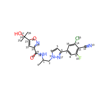 CC(Cn1ccc(-c2cc(F)c(C#N)c(Cl)c2)n1)NC(=O)c1cc(C(C)(C)O)on1